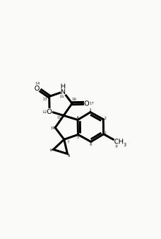 Cc1ccc2c(c1)C1(CC1)CC21OC(=O)NC1=O